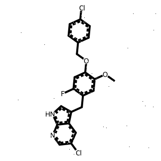 COc1cc(Cc2c[nH]c3ncc(Cl)cc23)c(F)cc1OCc1ccc(Cl)cc1